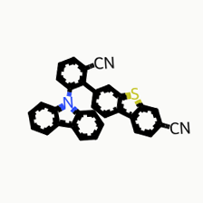 N#Cc1ccc2c(c1)sc1cc(-c3c(C#N)cccc3-n3c4ccccc4c4ccccc43)ccc12